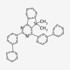 C[Si]1(C)c2ccccc2-c2nc(-c3cccc(-c4ccccc4)c3)nc(-c3cccc(-c4ccccc4)c3)c21